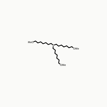 COCCCCCCCP(CCCCCCCOC)CCCCCCCOC